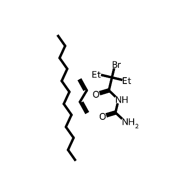 C=CC=C.CCC(Br)(CC)C(=O)NC(N)=O.CCCCCCCCCCCC